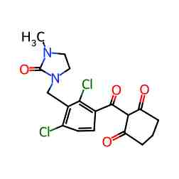 CN1CCN(Cc2c(Cl)ccc(C(=O)C3C(=O)CCCC3=O)c2Cl)C1=O